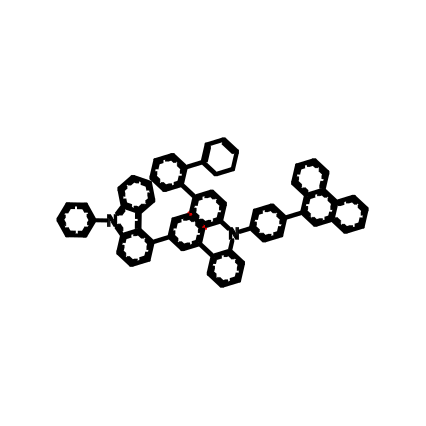 C1=CCCC(c2ccccc2-c2ccc(N(c3ccc(-c4cc5ccccc5c5ccccc45)cc3)c3ccccc3-c3cccc(-c4cccc5c4c4ccccc4n5-c4ccccc4)c3)cc2)=C1